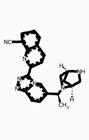 C[C@@H](c1ccc2nnc(-c3ccc4cccc(C#N)c4n3)n2c1)N1C[C@@H]2C[C@H]1CN2